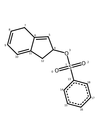 O=S(=O)(OC1C=C2CC=CC=C2C1)c1ccccc1